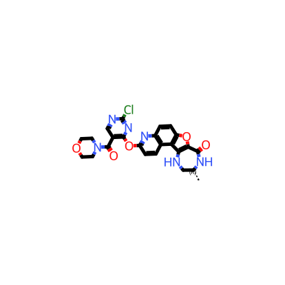 C[C@@H]1CNc2c(oc3ccc4nc(Oc5nc(Cl)ncc5C(=O)N5CCOCC5)ccc4c23)C(=O)N1